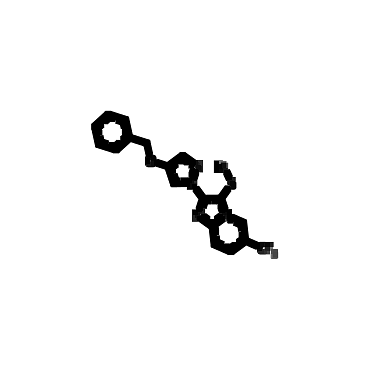 CCSc1c(-n2cc(OCc3ccccc3)cn2)nc2ccc(C(F)(F)F)cn12